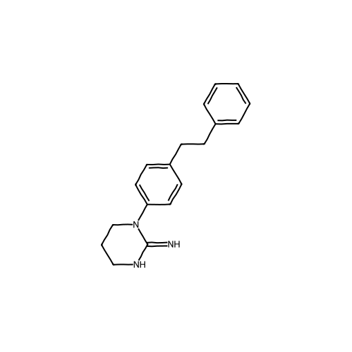 N=C1NCCCN1c1ccc(CCc2ccccc2)cc1